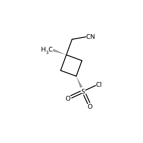 C[C@]1(CC#N)C[C@H](S(=O)(=O)Cl)C1